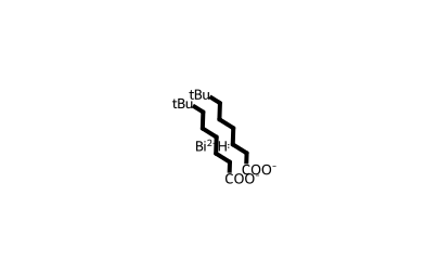 CC(C)(C)CCCCCC(=O)[O-].CC(C)(C)CCCCCC(=O)[O-].[BiH+2]